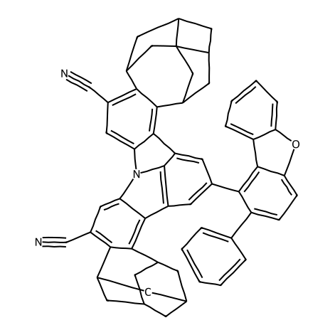 N#Cc1cc2c(c3c1C1CC4CC(C1)CC3C4)c1cc(-c3c(-c4ccccc4)ccc4oc5ccccc5c34)cc3c4c5c(c(C#N)cc4n2c13)C1CC2CC3CC5CC23C1